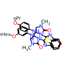 CCCCCCOc1cccc(NC2CN(C)C(=O)[N+]2(c2nc3ccccc3s2)[N+]2(c3nc4ccccc4s3)C(=O)N(C)CC2Nc2ccc(OCCC)cc2)c1